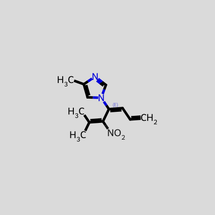 C=C/C=C(\C(=C(C)C)[N+](=O)[O-])n1cnc(C)c1